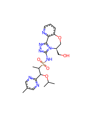 Cc1cnc(C(OC(C)C)C(C)S(=O)(=O)Nc2nnc3n2[C@H](CO)COc2cccnc2-3)nc1